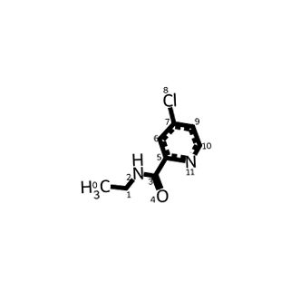 CCNC(=O)c1cc(Cl)ccn1